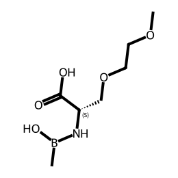 COCCOC[C@H](NB(C)O)C(=O)O